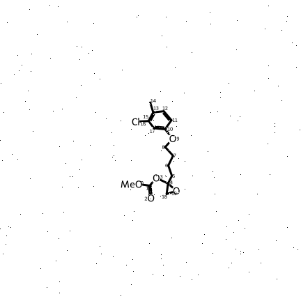 COC(=O)OC1(CCCCOc2ccc(C)c(Cl)c2)CO1